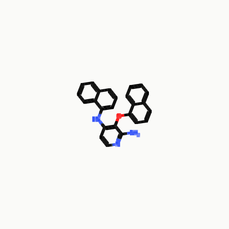 Nc1nccc(Nc2cccc3ccccc23)c1Oc1cccc2ccccc12